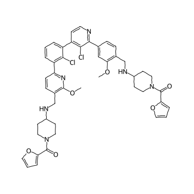 COc1cc(-c2nccc(-c3cccc(-c4ccc(CNC5CCN(C(=O)c6ccco6)CC5)c(OC)n4)c3Cl)c2Cl)ccc1CNC1CCN(C(=O)c2ccco2)CC1